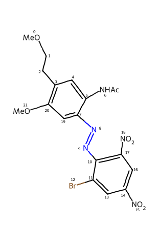 COCCc1cc(NC(C)=O)c(N=Nc2c(Br)cc([N+](=O)[O-])cc2[N+](=O)[O-])cc1OC